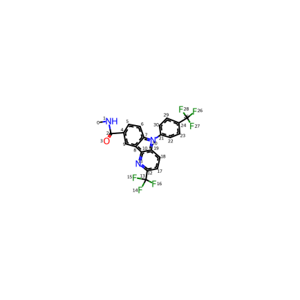 CNC(=O)c1ccc2c(c1)c1nc(C(F)(F)F)ccc1n2-c1ccc(C(F)(F)F)cc1